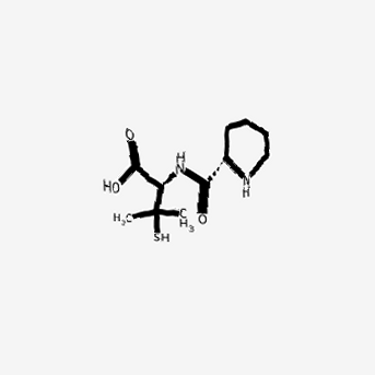 CC(C)(S)[C@H](NC(=O)[C@@H]1CCCCN1)C(=O)O